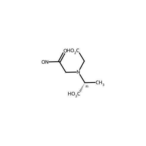 C[C@H](C(=O)O)N(CC(=O)O)CC(=O)N=O